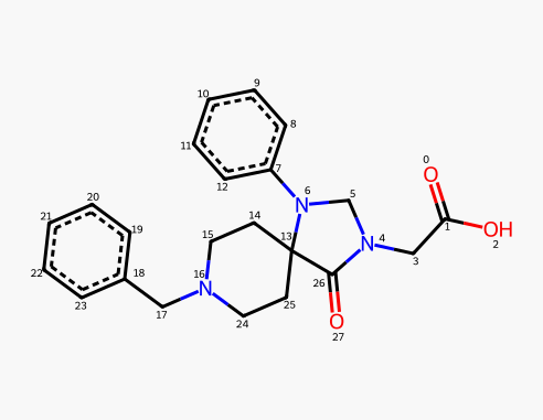 O=C(O)CN1CN(c2ccccc2)C2(CCN(Cc3ccccc3)CC2)C1=O